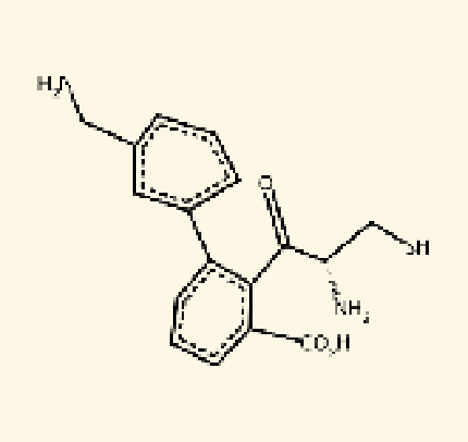 NCc1cccc(-c2cccc(C(=O)O)c2C(=O)[C@@H](N)CS)c1